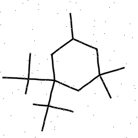 CC1CC(C)(C)CC(C(C)(C)C)(C(C)(C)C)C1